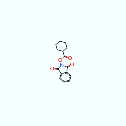 O=C(ON1C(=O)c2ccccc2C1=O)C1CCCCC1